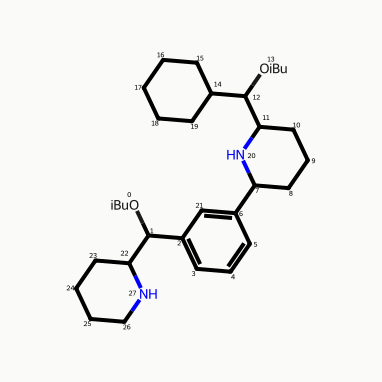 CC(C)COC(c1cccc(C2CCCC(C(OCC(C)C)C3CCCCC3)N2)c1)C1CCCCN1